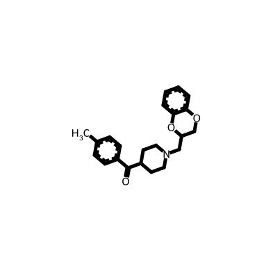 Cc1ccc(C(=O)C2CCN(CC3COc4ccccc4O3)CC2)cc1